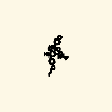 CCCCOc1ccc([C@]2(C)CC(c3ccn(C4CC4)n3)=C(C(=O)Nc3ccc(OC)cc3)C(=O)N2)cc1